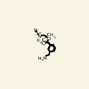 CC(C)(CN=[N+]=[N-])OC(=O)c1cccc(CCN)c1